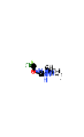 Cc1cc(N(C)C)nc(NC2CCC(CNC(=O)c3ccc(F)c(Cl)c3)CC2)n1